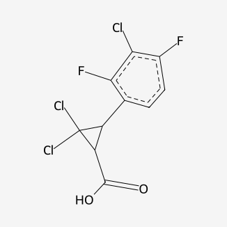 O=C(O)C1C(c2ccc(F)c(Cl)c2F)C1(Cl)Cl